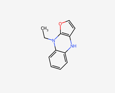 CCN1c2ccccc2Nc2ccoc21